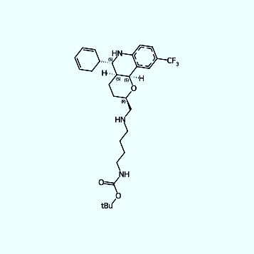 CC(C)(C)OC(=O)NCCCCNC[C@H]1CC[C@@H]2[C@H](O1)c1cc(C(F)(F)F)ccc1N[C@H]2C1C=CC=CC1